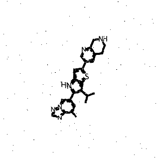 Cc1cc(-c2[nH]c3cc(-c4cnc5c(c4)CCNC5)sc3c2C(C)C)cn2ncnc12